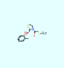 CC(=O)SCC(=O)N1CCSC1COc1ccccc1C